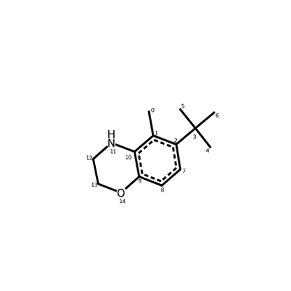 Cc1c(C(C)(C)C)ccc2c1NCCO2